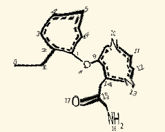 CCc1ccccc1Oc1nccnc1C(N)=O